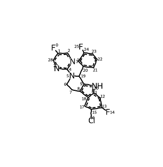 Fc1cnc(N2CCc3c([nH]c4cc(F)c(Cl)cc34)C2c2cccc(F)c2)nc1